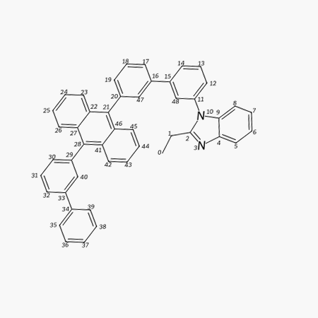 CCc1nc2ccccc2n1-c1cccc(-c2cccc(-c3c4ccccc4c(-c4cccc(-c5ccccc5)c4)c4ccccc34)c2)c1